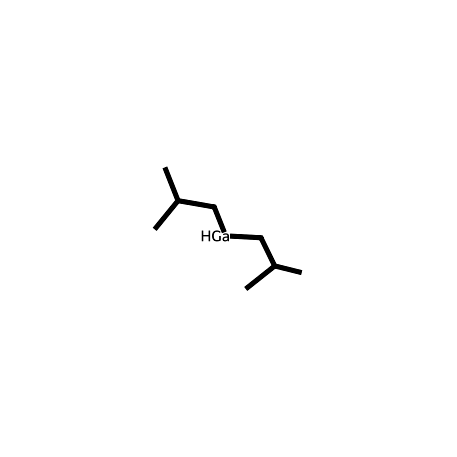 CC(C)[CH2][GaH][CH2]C(C)C